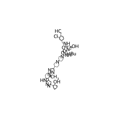 C#Cc1ccc(CNC(=O)[C@@H]2C[C@@H](O)CN2C(=O)[C@@H](NC(=O)N2CCC(N3CCC(c4cnc(N5CCc6[nH]c7nnc(-c8ccccc8O)cc7c6[C@H]5C)nc4)CC3)CC2)C(C)(C)C)cc1Cl